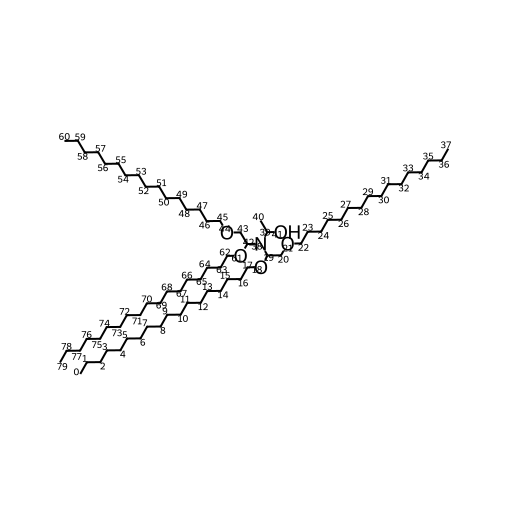 CCCCCCCCCCCCCCCCCCOC(COCCCCCCCCCCCCCCCC)N(C(C)O)C(COCCCCCCCCCCCCCCCC)OCCCCCCCCCCCCCCCCCC